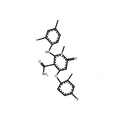 Cc1ccc(Nc2c(C(N)=O)c(Oc3ccc(F)cc3C)cc(=O)n2C)c(F)c1